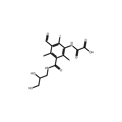 O=[C]c1c(I)c(NC(=O)C(=O)O)c(I)c(C(=O)NCC(O)CO)c1I